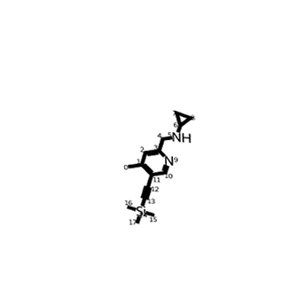 Cc1cc(CNC2CC2)ncc1C#C[Si](C)(C)C